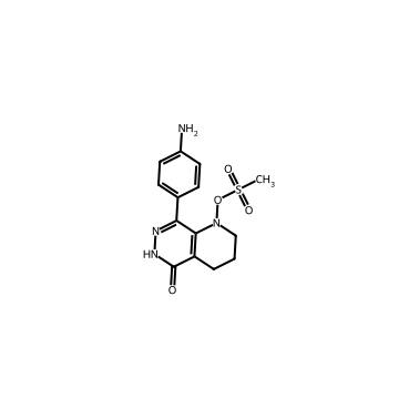 CS(=O)(=O)ON1CCCc2c1c(-c1ccc(N)cc1)n[nH]c2=O